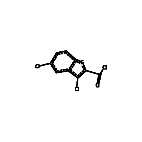 O=C(Cl)c1sc2ccc(Cl)cc2c1Cl